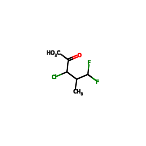 CC(C(F)F)C(Cl)C(=O)C(=O)O